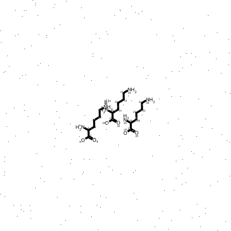 NCCCCC(N)C(=O)[O-].NCCCCC(N)C(=O)[O-].NCCCCC(N)C(=O)[O-].[B+3]